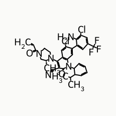 C=CC(=O)N1CCN(c2c(C#N)c(=O)n(C3C=CC=CC3C(C)C)c3cc(-c4cc(C(F)(F)F)cc(Cl)c4N)c(Cl)cc23)[C@@H](C)C1